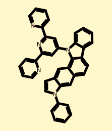 c1ccc(-n2ccc3cc4c(ccc5c6ccccc6n(-c6cc(-c7ccccn7)nc(-c7ccccn7)c6)c45)cc32)cc1